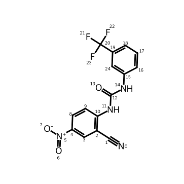 N#Cc1cc([N+](=O)[O-])ccc1NC(=O)Nc1cccc(C(F)(F)F)c1